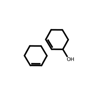 C1=CCCCC1.OC1C=CCCC1